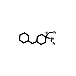 CC(C)NC1(NC(C)C)CCC(CC2CCCCC2)CC1